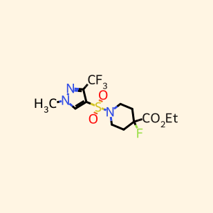 CCOC(=O)C1(F)CCN(S(=O)(=O)c2cn(C)nc2C(F)(F)F)CC1